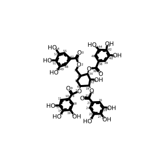 O=C(OCC1C[C@@H](OC(=O)c2cc(O)c(O)c(O)c2)[C@@H](OC(=O)c2cc(O)c(O)c(O)c2)C(O)[C@@H]1OC(=O)c1cc(O)c(O)c(O)c1)c1cc(O)c(O)c(O)c1